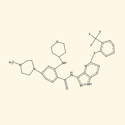 CN1CCN(c2ccc(C(=O)Nc3n[nH]c4ccc(Sc5ccccc5C(F)(F)F)nc34)c(NC3CCOCC3)c2)CC1